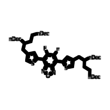 CCCCCCCCCCCCC(CCCCCCCCCC)Cc1csc(-c2c(F)c(F)c(-c3cc(CC(CCCCCCCCCC)CCCCCCCCCCCC)cs3)c3nonc23)c1